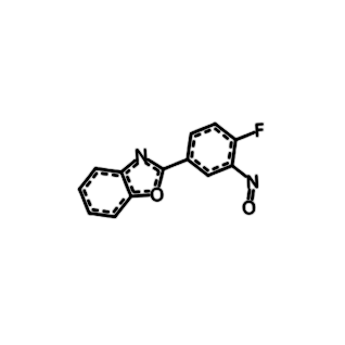 O=Nc1cc(-c2nc3ccccc3o2)ccc1F